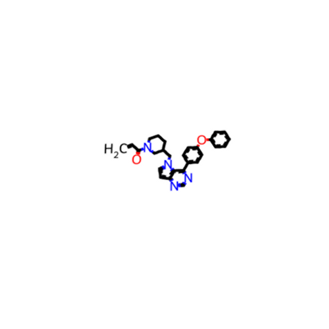 C=CC(=O)N1CCCC(Cn2ccc3ncnc(-c4ccc(Oc5ccccc5)cc4)c32)C1